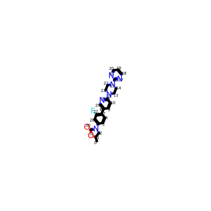 CC1CN(c2ccc(-c3ccc(N4CCN(c5ncccn5)CC4)nc3)c(F)c2)C(=O)O1